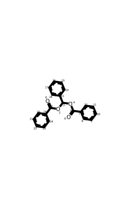 O=C(OC(OC(=O)c1ccccc1)c1ccccc1)c1ccccc1